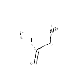 C=C[CH2][Al+2].[I-].[I-]